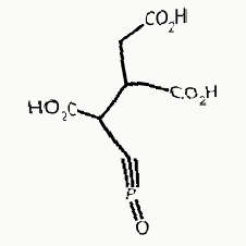 O=P#CC(C(=O)O)C(CC(=O)O)C(=O)O